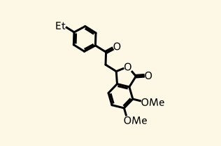 CCc1ccc(C(=O)CC2OC(=O)c3c2ccc(OC)c3OC)cc1